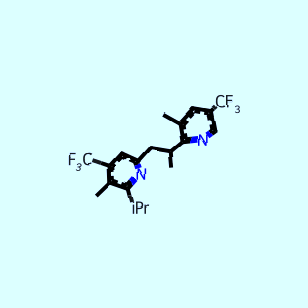 Cc1cc(C(F)(F)F)cnc1C(C)Cc1cc(C(F)(F)F)c(C)c(C(C)C)n1